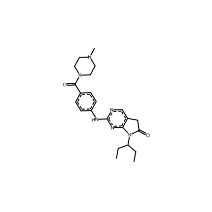 CCC(CC)N1C(=O)Cc2cnc(Nc3ccc(C(=O)N4CCN(C)CC4)cc3)nc21